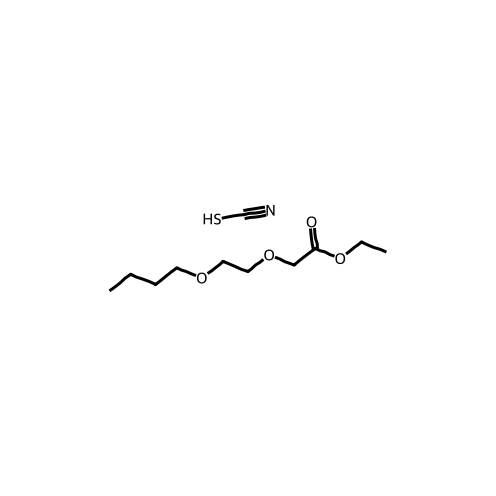 CCCCOCCOCC(=O)OCC.N#CS